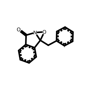 O=C1c2ccccc2C2(Cc3[c]cccc3)ON12